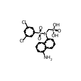 Nc1cccc2c(N(CP(=O)(O)O)S(=O)(=O)c3cc(Cl)cc(Cl)c3)cccc12